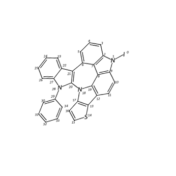 In1c2cccc3c2c2c1ccc1c4sccc4n(c12)c1c3c2ccccc2n1-c1ccccc1